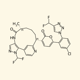 C[C@@H]1CCC[C@H](c2ccc(-c3cc(Cl)ccc3-n3cc(C(F)F)nn3)oc2=O)c2cc(ccn2)-c2c(cnn2C(F)F)NC1=O